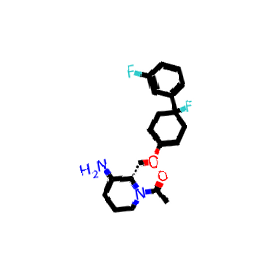 CC(=O)N1CCCC(N)[C@@H]1COC1CCC(F)(c2cccc(F)c2)CC1